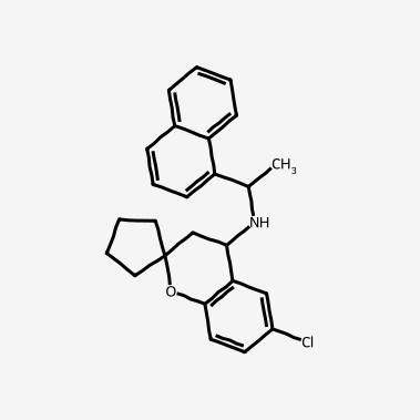 CC(NC1CC2(CCCC2)Oc2ccc(Cl)cc21)c1cccc2ccccc12